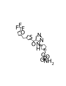 NS(=O)(=O)OC[C@@H]1CC[C@H](Nc2ncncc2C(=O)c2cc(Cc3ccc(C(F)(F)F)o3)cs2)C1